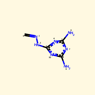 C=NNc1nc(N)nc(N)n1